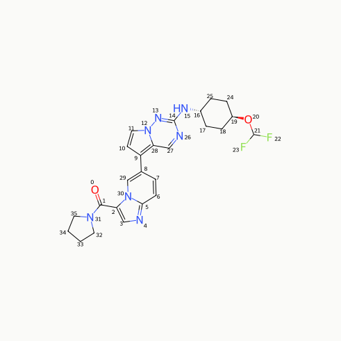 O=C(c1cnc2ccc(-c3ccn4nc(N[C@H]5CC[C@H](OC(F)F)CC5)ncc34)cn12)N1CCCC1